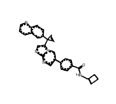 O=C(NC1CCC1)c1ccc(-c2cnc3ncc(C4(c5ccc6ncccc6c5)C=C4)n3c2)cc1